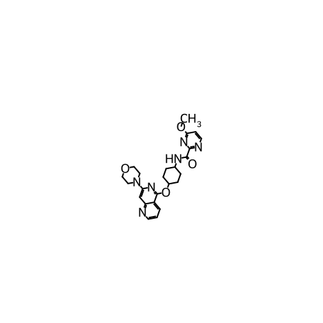 COc1ccnc(C(=O)NC2CCC(Oc3nc(N4CCOCC4)cc4ncccc34)CC2)n1